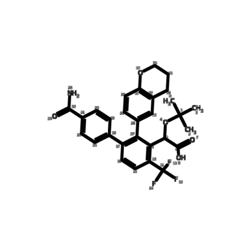 CC(C)(C)OC(C(=O)O)c1c(C(F)(F)F)ccc(-c2ccc(C(N)=O)cc2)c1-c1ccc2c(c1)CCCO2